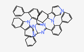 C1=CCCC(C2N=C(c3cccc(-c4ccccc4)c3-n3c4c(c5ccncc53)C=CCC4)N=C(c3cccc(-c4ccccc4)c3-n3c4c(c5ccncc53)C=CCC4)N2)=C1